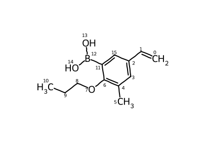 C=Cc1cc(C)c(OCCC)c(B(O)O)c1